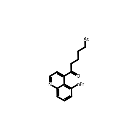 CCCc1cccc2nccc(C(=O)CCCCC(C)=O)c12